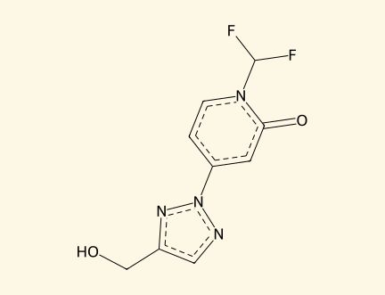 O=c1cc(-n2ncc(CO)n2)ccn1C(F)F